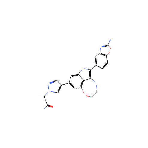 C[C@@H](C(N)=O)n1cc(-c2cc3c4c(c(-c5ccc6oc(N)nc6c5)[nH]c4c2)NCCO3)cn1